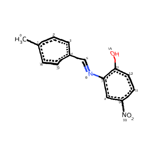 Cc1ccc(/C=N/c2cc([N+](=O)[O-])ccc2O)cc1